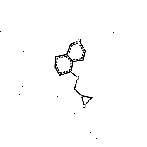 c1cc(OCC2CO2)c2ccncc2c1